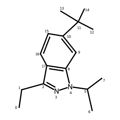 CCc1nn(C(C)C)c2cc(C(C)(C)C)ccc12